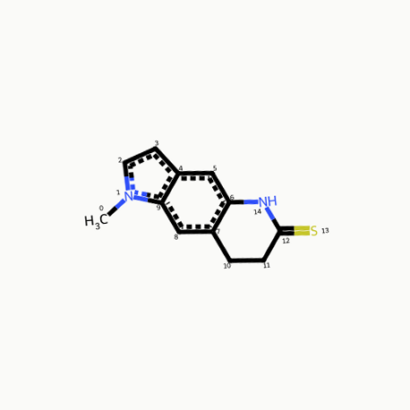 Cn1ccc2cc3c(cc21)CCC(=S)N3